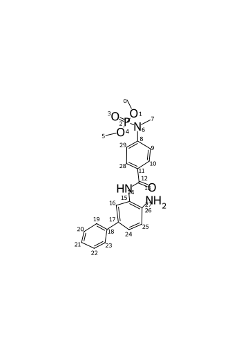 COP(=O)(OC)N(C)c1ccc(C(=O)Nc2cc(-c3ccccc3)ccc2N)cc1